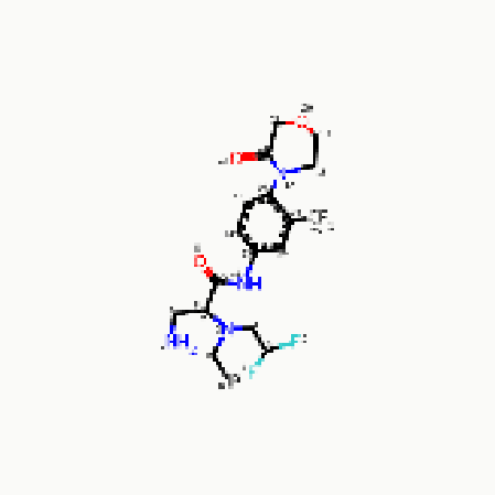 CC(C)CN(CC(F)F)[C@@H](CN)C(=O)Nc1ccc(N2CCOCC2=O)c(C(F)(F)F)c1